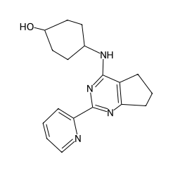 OC1CCC(Nc2nc(-c3ccccn3)nc3c2CCC3)CC1